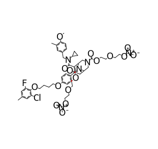 COc1ccc(CN(C(=O)C2=C(c3ccc(OCCCCOc4c(F)cc(C)cc4Cl)cc3)CC3CN(C(=O)OCCOCCO[N+](=O)[O-])CC2N3C(=O)OCCOCCO[N+](=O)[O-])C2CC2)cc1C